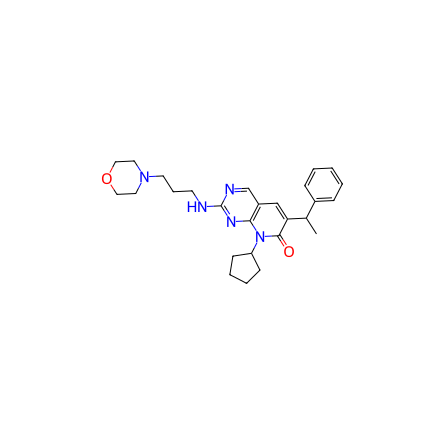 CC(c1ccccc1)c1cc2cnc(NCCCN3CCOCC3)nc2n(C2CCCC2)c1=O